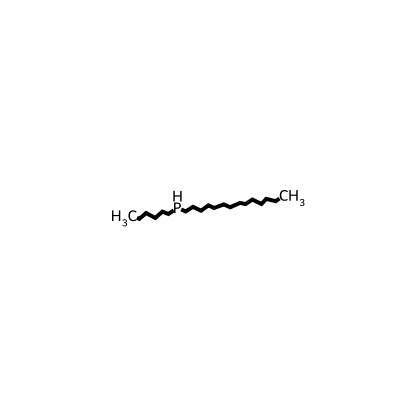 CCCCCCCCCCCCCCPCCCCCC